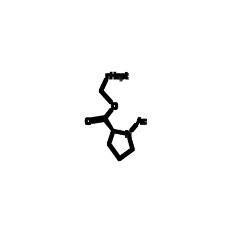 CCCCCCCCOC(=O)[C@@H]1CCCN1C(C)=O